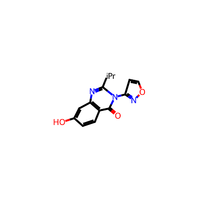 CC(C)c1nc2cc(O)ccc2c(=O)n1-c1ccon1